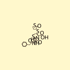 O=C(Cc1ccccc1)N[C@@H]1C(=O)N2C(C(=O)O)=C(SC3CCSC3=O)CS[C@H]12